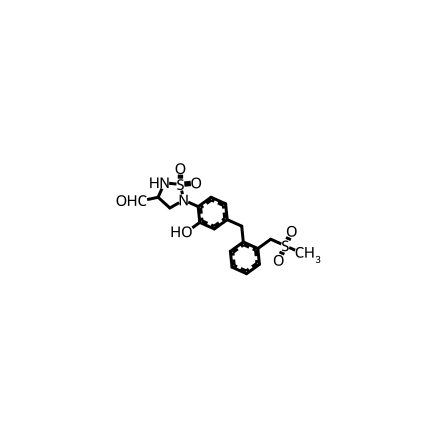 CS(=O)(=O)Cc1ccccc1Cc1ccc(N2CC(C=O)NS2(=O)=O)c(O)c1